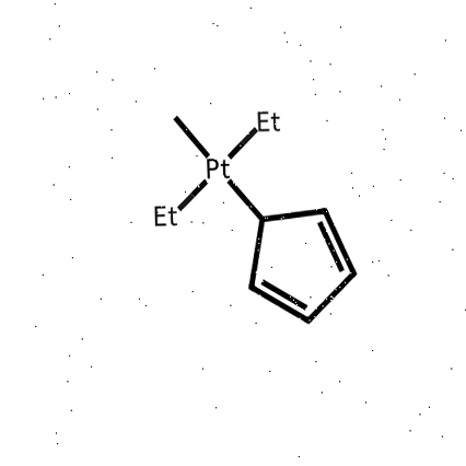 C[CH2][Pt]([CH3])([CH2]C)[CH]1C=CC=C1